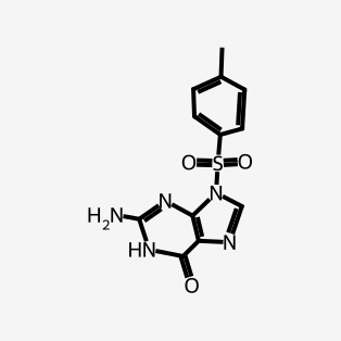 Cc1ccc(S(=O)(=O)n2cnc3c(=O)[nH]c(N)nc32)cc1